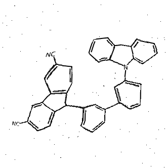 N#Cc1ccc2c(c1)-c1cc(C#N)ccc1C2c1cccc(-c2cccc(-n3c4ccccc4c4ccccc43)c2)c1